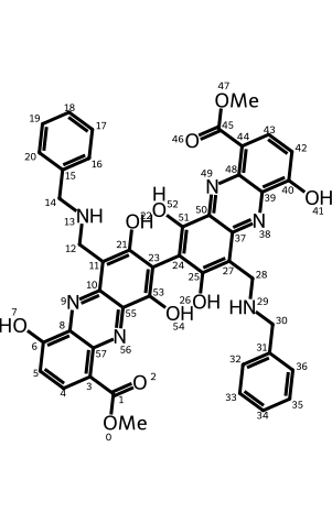 COC(=O)c1ccc(O)c2nc3c(CNCc4ccccc4)c(O)c(-c4c(O)c(CNCc5ccccc5)c5nc6c(O)ccc(C(=O)OC)c6nc5c4O)c(O)c3nc12